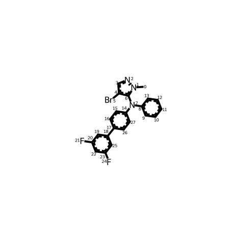 Cn1ncc(Br)c1N(c1ccccc1)c1ccc(-c2cc(F)cc(F)c2)cc1